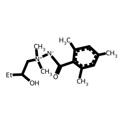 CCC(O)C[N+](C)(C)[N-]C(=O)c1c(C)cc(C)cc1C